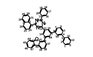 c1ccc(-c2cccc(-c3cc(-c4nc(-c5ccccc5)nc(-c5cccc6ccccc56)n4)cc(-c4cccc5c4oc4ccccc45)c3)c2)cc1